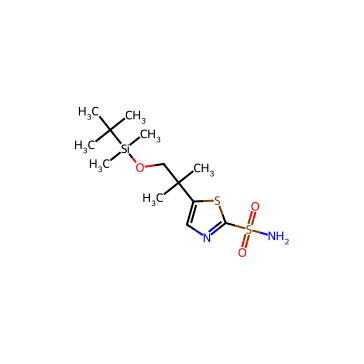 CC(C)(CO[Si](C)(C)C(C)(C)C)c1cnc(S(N)(=O)=O)s1